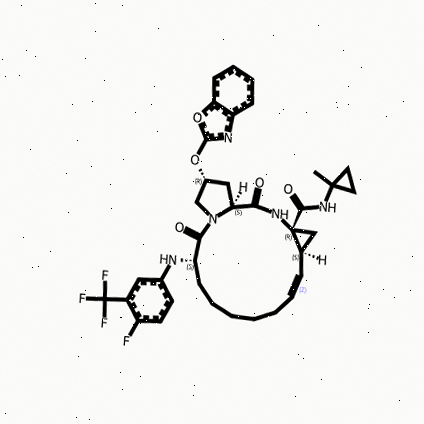 CC1(NC(=O)[C@@]23C[C@H]2/C=C\CCCCC[C@H](Nc2ccc(F)c(C(F)(F)F)c2)C(=O)N2C[C@H](Oc4nc5ccccc5o4)C[C@H]2C(=O)N3)CC1